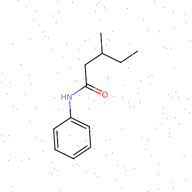 CCC(C)CC(=O)Nc1ccccc1